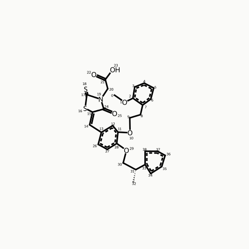 COc1ccccc1CCOc1cc(C=C2SC(=S)N(CC(=O)O)C2=O)ccc1OC[C@@H](C)c1ccccc1